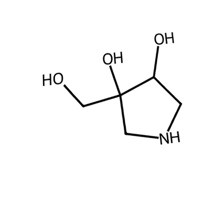 OCC1(O)CNCC1O